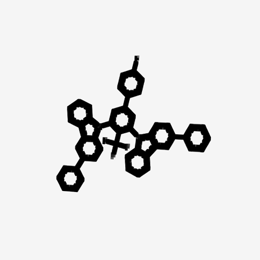 Fc1ccc(-c2cc(-n3c4ccccc4c4cc(-c5ccccc5)ccc43)c(C(F)(F)F)c(-n3c4ccccc4c4cc(-c5ccccc5)ccc43)c2)cc1